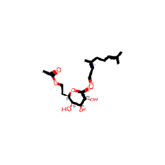 CC(=O)OCC[C@H]1OC(OC/C=C(\C)CCC=C(C)C)[C@H](O)[C@@H](O)[C@@H]1O